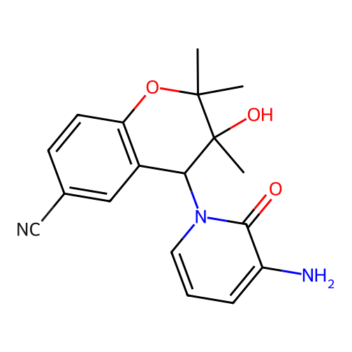 CC1(C)Oc2ccc(C#N)cc2C(n2cccc(N)c2=O)C1(C)O